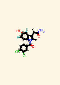 Cc1c([C@@H](C)C(N)=O)c2c(F)c(O)c(F)cc2n1C(=O)c1ccc(Cl)c(Cl)c1